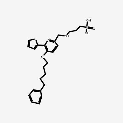 O=P(O)(O)CCCNCc1ccc(OCCCCCc2ccccc2)c(-c2cccs2)n1